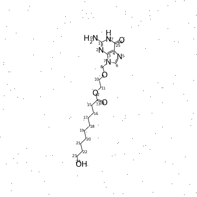 Nc1nc2c(ncn2COCCOC(=O)CCCCCCCCCO)c(=O)[nH]1